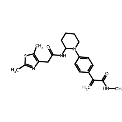 C=C(C(=O)NO)c1ccc(N2CCCCC2NC(=O)Cc2nc(C)sc2C)cc1